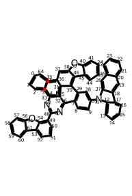 c1ccc(-c2nc(-c3ccc(-n4c5ccccc5c5cc6ccccc6cc54)cc3-c3c4ccccc4cc4oc5ccccc5c34)nc(-c3cccc4c3oc3ccccc34)n2)cc1